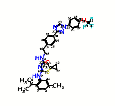 Cc1ccc(C(C)C)c(N/C(=N/C(=O)NCCc2ccc(-c3ncn(-c4ccc(OC(F)(F)F)cc4)n3)cc2)SC2(C)CC2)c1